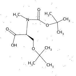 CN(C(=O)OC(C)(C)C)[C@@H](COC(C)(C)C)C(=O)O